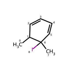 CC1C=CC=CC1(C)I